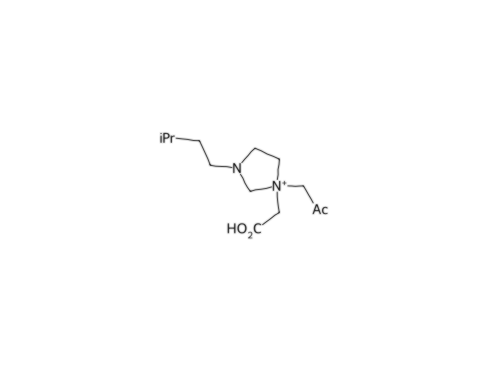 CC(=O)C[N+]1(CC(=O)O)CCN(CCC(C)C)C1